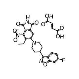 CCc1c(N2CCC(c3noc4cc(F)ccc34)CC2)cc2c(c1[N+](=O)[O-])C(=O)NC2=O.O=C(O)/C=C/C(=O)O